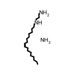 CCCCCCCC/C=C\CCCCCCCCNCCCN.N